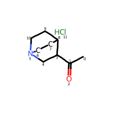 CC(=O)C1CN2CCC1CC2.Cl